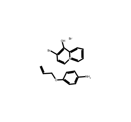 C=CCOc1ccc(N)cc1.Oc1c(Br)cc[n+]2ccccc12.[Br-]